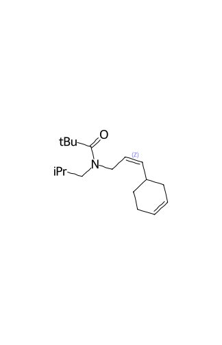 CC(C)CN(C/C=C\C1CC=CCC1)C(=O)C(C)(C)C